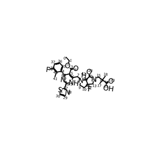 CCOC(=O)C1=C(CN2CC[C@]3(F)CN(CC(C)(C)C(=O)O)C(=O)[C@H]23)NC(c2nccs2)=N[C@H]1c1cccc(F)c1C